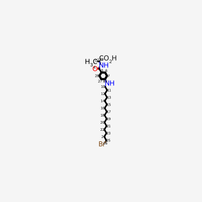 CC(NC(=O)c1ccc(NCCCCCCCCCCCCCCCCBr)cc1)C(=O)O